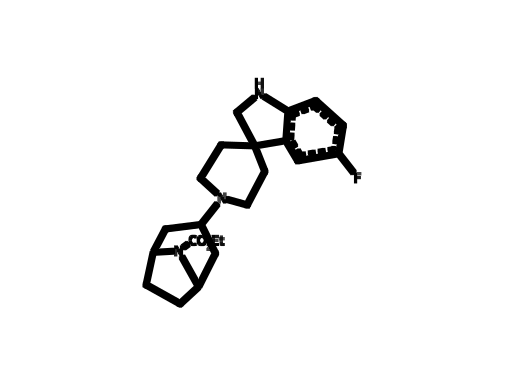 CCOC(=O)N1C2CCC1CC(N1CCC3(CC1)CNc1ccc(F)cc13)C2